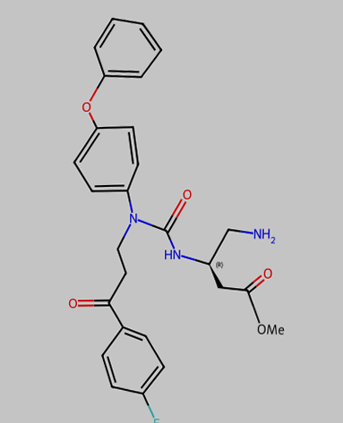 COC(=O)C[C@H](CN)NC(=O)N(CCC(=O)c1ccc(F)cc1)c1ccc(Oc2ccccc2)cc1